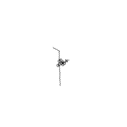 CCCCCC/C=C\CCCCCCCC(=O)O[C@H](COC(=O)CCCCCCCCCCCCCCCCCCC)COP(=O)([O-])OCC[N+](C)(C)C